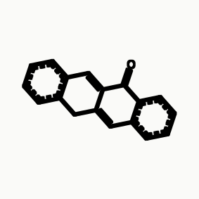 O=C1C2=Cc3ccccc3CC2=Cc2ccccc21